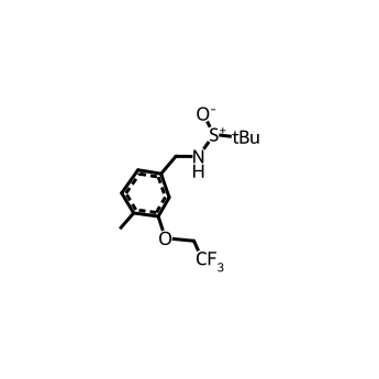 Cc1ccc(CN[S+]([O-])C(C)(C)C)cc1OCC(F)(F)F